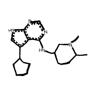 CC1CCC(Nc2ncnc3[nH]cc(C4CCCC4)c23)CN1C